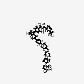 Cc1cc(-c2n[nH]c3ncc(-c4ccc(N5CCC(CN6CCN(c7ccc(N8CCC(=O)NC8=O)cn7)CC6)CC5)cc4)cc23)ccc1C(C)NC(=O)c1noc(C(C)(C)C)n1